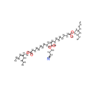 CCCCC(CCCC)CCOC(=O)CCCCCCCCCC(CCCCCCCCCC(=O)OCCC(CCCC)CCCC)C(=O)OCCCC#N